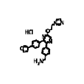 Cl.NCc1ccc(-c2ncc(OCCn3ccnc3)nc2-c2ccc(-c3ccoc3)cc2)cc1